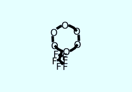 FC(C(F)(F)F)C(F)(F)C1COCCOCCOCCOCCOCCO1